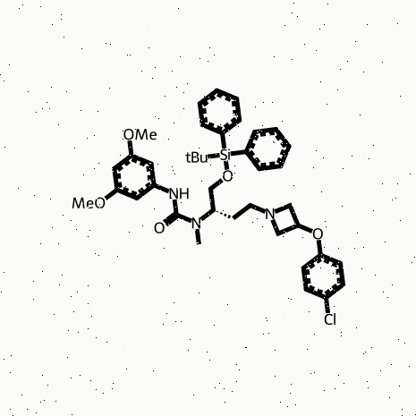 COc1cc(NC(=O)N(C)[C@@H](CCN2CC(Oc3ccc(Cl)cc3)C2)CO[Si](c2ccccc2)(c2ccccc2)C(C)(C)C)cc(OC)c1